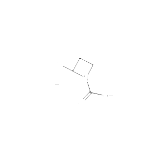 C[C@]1(O)CCN1C(=O)O